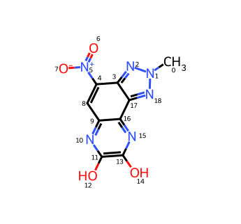 Cn1nc2c([N+](=O)[O-])cc3nc(O)c(O)nc3c2n1